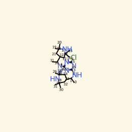 CC(Nc1nc(Cl)nc(NC(C)C2CC(C)(C)NC(C)(C)C2)n1)C1CC(C)(C)NC(C)(C)C1